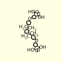 CC(C)(c1ccc(Oc2ccc(C(=O)O)c(C(=O)O)c2)cc1)c1cccc(C(C)(C)c2ccc(Oc3ccc(C(=O)O)c(C(=O)O)c3)cc2)c1